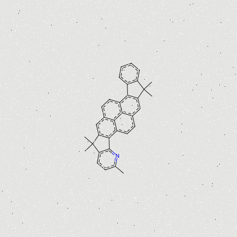 Cc1ccc2c(n1)-c1c(cc3ccc4c5c(cc6ccc1c3c64)C(C)(C)c1ccccc1-5)C2(C)C